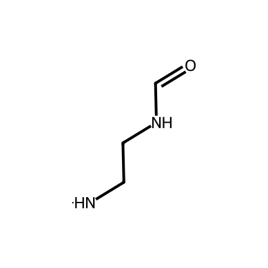 [NH]CCNC=O